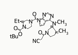 CC[C@H]1CN(C(=O)n2ccc3c(N(C)[C@H]4CN(C(=O)CC#N)CC[C@H]4C)ncnc32)CCN1C(=O)OC(C)(C)C